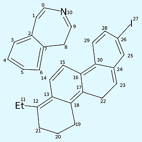 C1=Cc2ccccc2CC=N1.CCC1=c2ccc3c(c2CCC1)CC=c1cc(I)ccc1=3